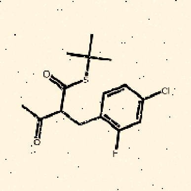 CC(=O)C(Cc1ccc(Cl)cc1F)C(=O)SC(C)(C)C